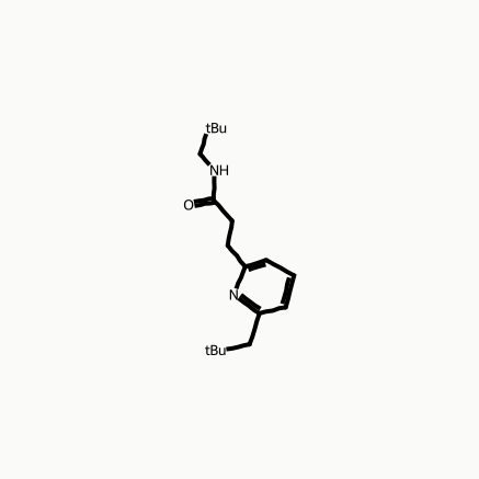 CC(C)(C)CNC(=O)CCc1cccc(CC(C)(C)C)n1